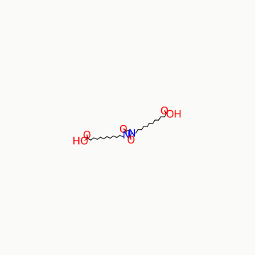 O=C(O)CCCCCCCCCCCN1CC(=O)N(CCCCCCCCCCCC(=O)O)C1=O